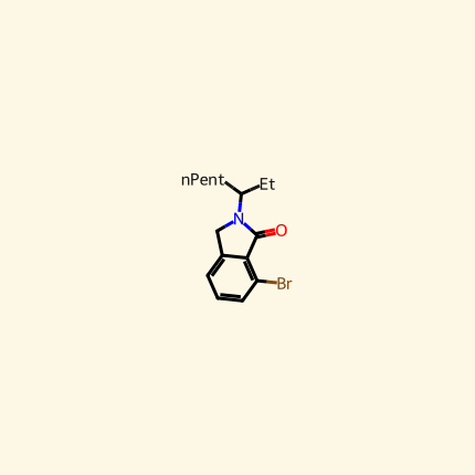 CCCCCC(CC)N1Cc2cccc(Br)c2C1=O